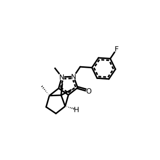 Cn1c2c(c(=O)n1Cc1cccc(F)c1)[C@H]1CC[C@]2(C)C1(C)C